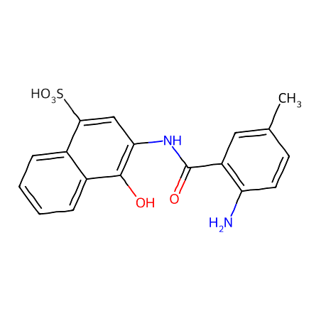 Cc1ccc(N)c(C(=O)Nc2cc(S(=O)(=O)O)c3ccccc3c2O)c1